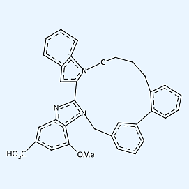 COc1cc(C(=O)O)cc2nc3n(c12)Cc1cccc(c1)-c1ccccc1CCCCn1c-3cc2ccccc21